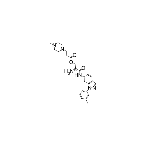 Cc1cccc(-n2ncc3ccc(NC(=O)[C@@H](N)COC(=O)CCN4CCN(C)CC4)cc32)c1